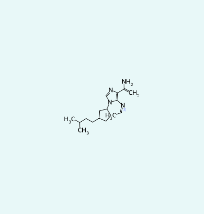 C=C(N)c1ncn(C2CCC(CCC(C)C)C2)c1/N=C\C